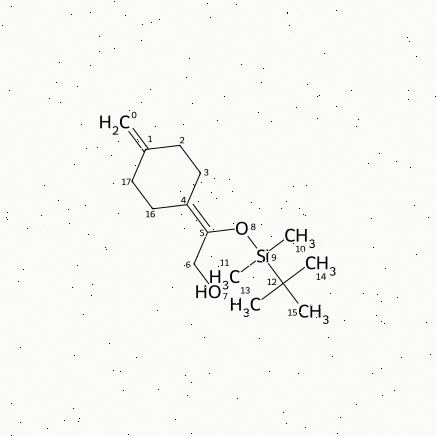 C=C1CCC(=C(CO)O[Si](C)(C)C(C)(C)C)CC1